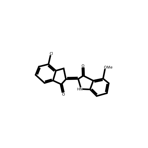 COc1cccc2c1C(=O)/C(=C1\Cc3c(Cl)cccc3C1=O)N2